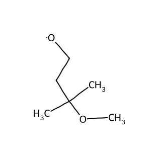 COC(C)(C)CC[O]